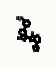 Nc1cncc(-c2cnc3[nH]nc(-c4cc5c(-c6ccsc6)ccnc5[nH]4)c3c2)c1